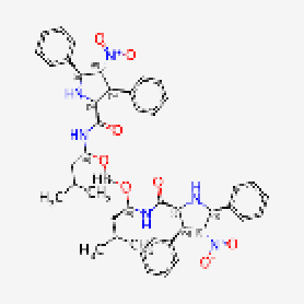 CC(C)C[C@H](NC(=O)[C@H]1N[C@@H](c2ccccc2)[C@H]([N+](=O)[O-])[C@H]1c1ccccc1)OBO[C@H](CC(C)C)NC(=O)[C@H]1N[C@@H](c2ccccc2)[C@H]([N+](=O)[O-])[C@H]1c1ccccc1